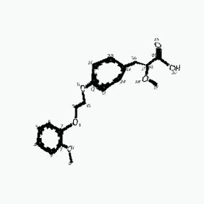 COc1ccccc1OCCOc1ccc(C[C@H](OC)C(=O)O)cc1